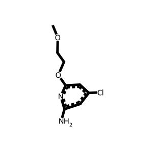 COCCOc1cc(Cl)cc(N)n1